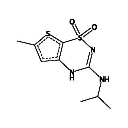 Cc1cc2c(s1)S(=O)(=O)N=C(NC(C)C)N2